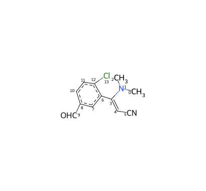 CN(C)C(=CC#N)c1cc(C=O)ccc1Cl